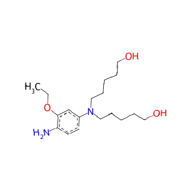 CCOc1cc(N(CCCCCO)CCCCCO)ccc1N